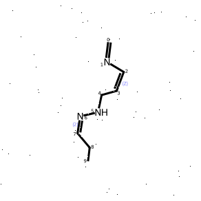 C=N/C=C\CN/N=C\CC